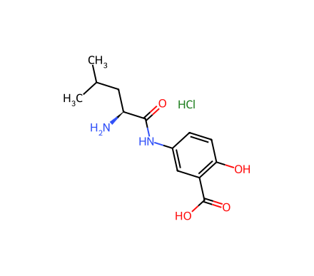 CC(C)C[C@H](N)C(=O)Nc1ccc(O)c(C(=O)O)c1.Cl